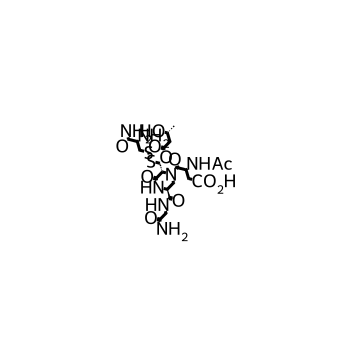 CC(=O)N[C@@H](CC(=O)O)C(=O)N1C[C@@H](C(=O)NCC(N)=O)NC(=O)[C@@H]1C(OC(=O)C[C@@H](C)O)SSC[C@H](N)C(N)=O